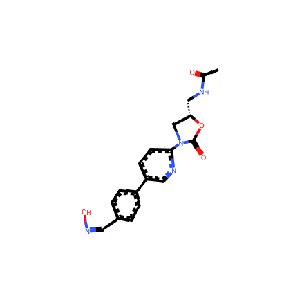 CC(=O)NC[C@H]1CN(c2ccc(-c3ccc(/C=N\O)cc3)cn2)C(=O)O1